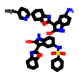 Nc1ccc2[nH]c(O)c(-c3nc4ccccc4o3)c2c1.O=S(=O)(Nc1ccc2[nH]c(O)c(-c3nc4ccccc4o3)c2c1)c1ccccc1.O=S(=O)(O)c1cccnc1